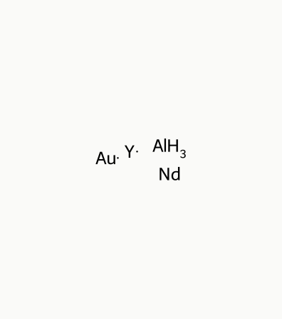 [AlH3].[Au].[Nd].[Y]